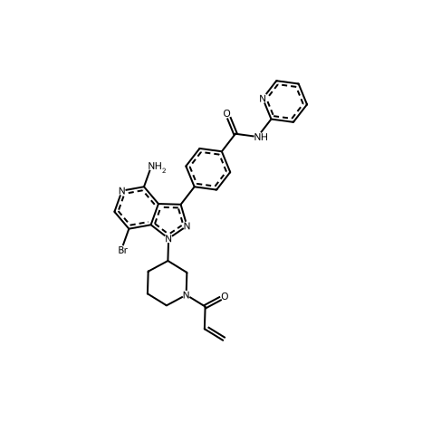 C=CC(=O)N1CCCC(n2nc(-c3ccc(C(=O)Nc4ccccn4)cc3)c3c(N)ncc(Br)c32)C1